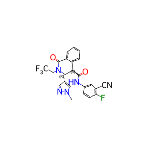 Cn1cc([C@H]2[C@H](C(=O)Nc3ccc(F)c(C#N)c3)c3ccccc3C(=O)N2CC(F)(F)F)cn1